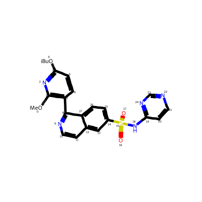 COc1nc(OCC(C)C)ccc1-c1nccc2cc(S(=O)(=O)Nc3ccncn3)ccc12